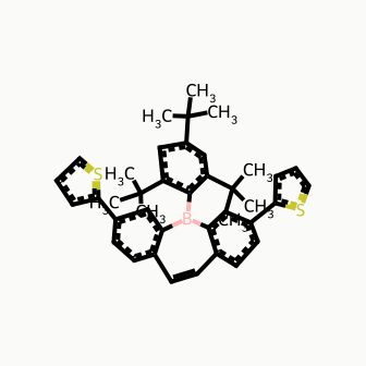 CC(C)(C)c1cc(C(C)(C)C)c(B2c3cc(-c4cccs4)ccc3C=Cc3ccc(-c4cccs4)cc32)c(C(C)(C)C)c1